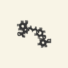 CC(=O)c1cn(CCCN2CCC(Oc3ccccc3Cl)CC2)c2c(C)cccc12